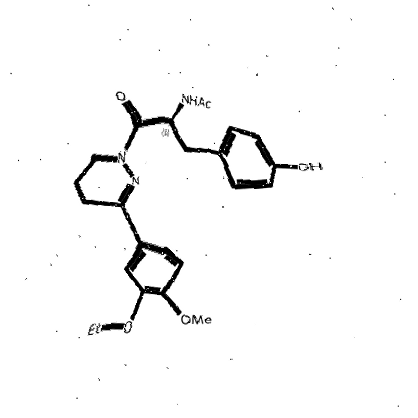 CCOc1cc(C2=NN(C(=O)[C@H](Cc3ccc(O)cc3)NC(C)=O)CCC2)ccc1OC